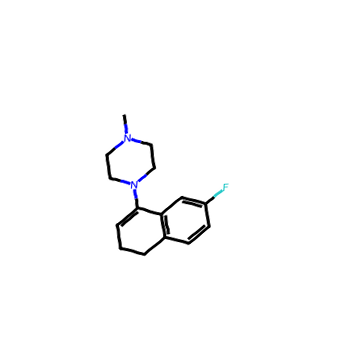 CN1CCN(C2=CCCc3ccc(F)cc32)CC1